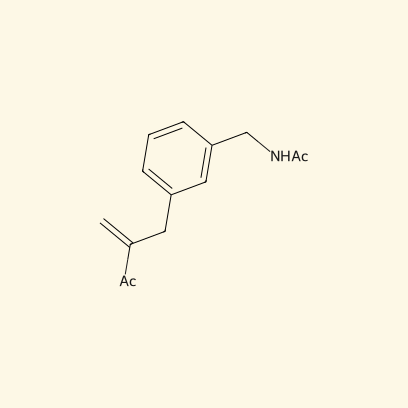 C=C(Cc1cccc(CNC(C)=O)c1)C(C)=O